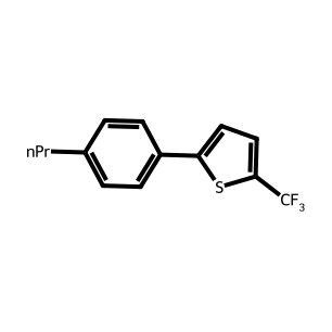 CCCc1ccc(-c2ccc(C(F)(F)F)s2)cc1